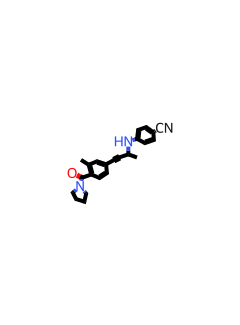 Cc1cc(C#CC(C)Nc2ccc(C#N)cc2)ccc1C(=O)N1CCCC1